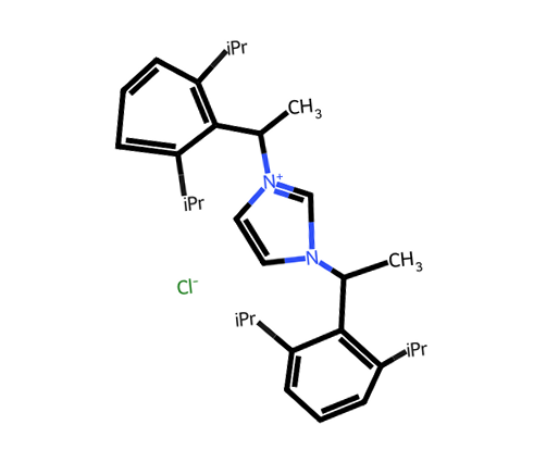 CC(C)c1cccc(C(C)C)c1C(C)n1cc[n+](C(C)c2c(C(C)C)cccc2C(C)C)c1.[Cl-]